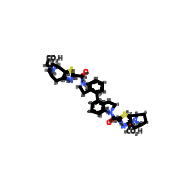 O=C(O)CN1C2CCC1c1sc(C(=O)N3CCc4c(-c5cccc6c5CCN6C(=O)c5nc6c(s5)C5CCC(C6)N5CC(=O)O)cccc43)nc1C2